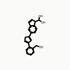 OCc1ccccc1C1=CCC(c2ccc3c(c2)C=CC3C(O)O)=C1